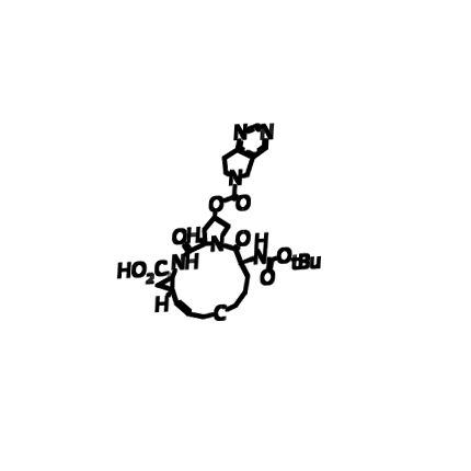 CC(C)(C)OC(=O)N[C@H]1CCCCCC=C[C@@H]2C[C@@]2(C(=O)O)NC(=O)[C@@H]2C[C@@H](OC(=O)N3CCc4ncncc4C3)CN2C1=O